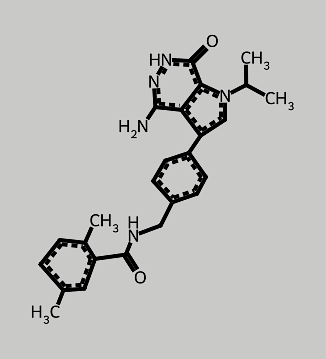 Cc1ccc(C)c(C(=O)NCc2ccc(-c3cn(C(C)C)c4c(=O)[nH]nc(N)c34)cc2)c1